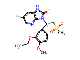 CCOc1cc([C@@H](CS(C)(=O)=O)n2c(=O)[nH]c3cc(F)cnc32)ccc1OC